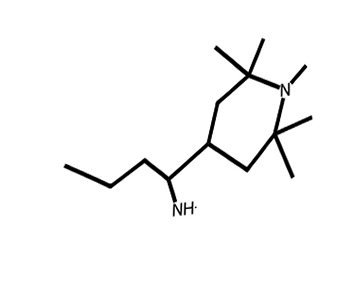 CCCC([NH])C1CC(C)(C)N(C)C(C)(C)C1